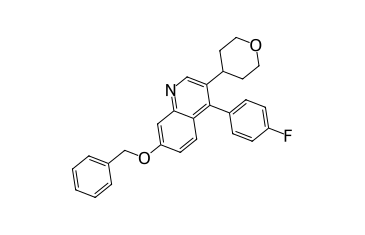 Fc1ccc(-c2c(C3CCOCC3)cnc3cc(OCc4ccccc4)ccc23)cc1